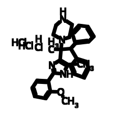 COc1ccccc1-c1nc(C(C)(C(c2ccccc2)c2ccccc2)N2CCNCC2)c(C)[nH]1.Cl.Cl.Cl